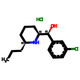 CCC[C@@H]1CCC[C@@H]([C@H](O)c2cccc(Cl)c2)N1.Cl